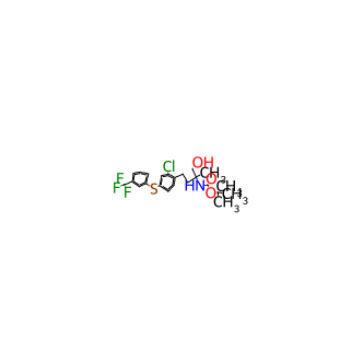 CC(CO)(CCc1ccc(Sc2cccc(C(F)(F)F)c2)cc1Cl)NC(=O)OC(C)(C)C